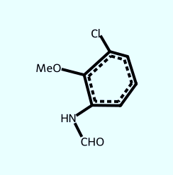 COc1c(Cl)cccc1NC=O